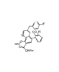 CCCCOc1c(C(=O)OC)cc(-c2ccccc2C(=O)O)c2cc(Cc3ccc(F)cc3)cnc12